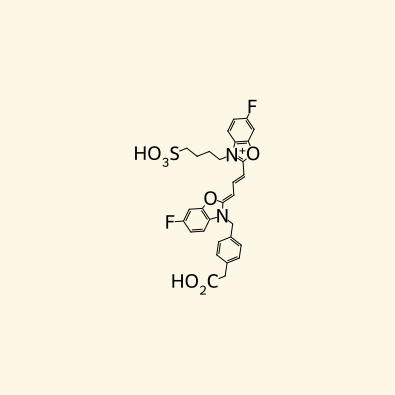 O=C(O)Cc1ccc(CN2C(=CC=Cc3oc4cc(F)ccc4[n+]3CCCCS(=O)(=O)O)Oc3cc(F)ccc32)cc1